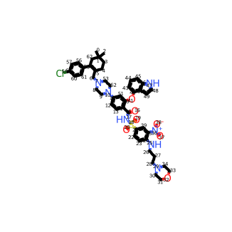 CC1(C)CCC(CN2CCN(c3ccc(C(=O)NS(=O)(=O)c4ccc(NCCCN5CCOCC5)c([N+](=O)[O-])c4)c(Oc4cccc5[nH]ccc45)c3)CC2)=C(c2ccc(Cl)cc2)C1